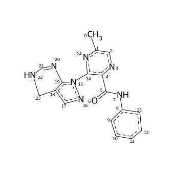 Cc1cnc(C(=O)Nc2ccccc2)c(-n2ncc3c2N=CNC3)n1